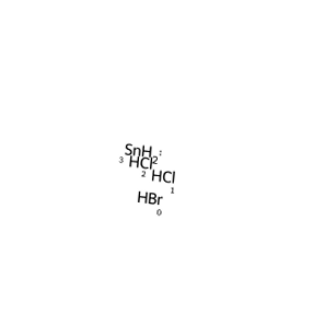 Br.Cl.Cl.[SnH2]